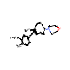 COc1cc(C2(C#N)CCC(N3CCOCC3)CC2)ccc1[N+](=O)[O-]